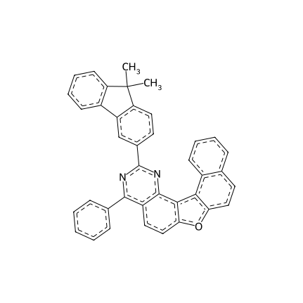 CC1(C)c2ccccc2-c2cc(-c3nc(-c4ccccc4)c4ccc5oc6ccc7ccccc7c6c5c4n3)ccc21